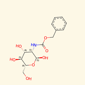 O=C(N[C@H]1[C@@H](O)[C@H](O)[C@@H](CO)O[C@@H]1O)OCc1ccccc1